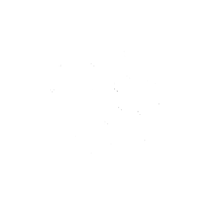 ONON(C(=S)[S-])N(C(=S)[S-])N1CCCC1.[O]=[Mo+2]=[O]